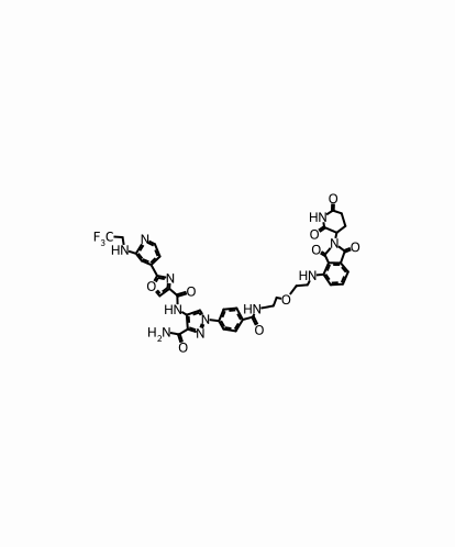 NC(=O)c1nn(-c2ccc(C(=O)NCCOCCNc3cccc4c3C(=O)N(C3CCC(=O)NC3=O)C4=O)cc2)cc1NC(=O)c1coc(-c2ccnc(NCC(F)(F)F)c2)n1